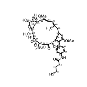 COc1cc2cc(c1-c1ccc(NC(=O)CCCS)cc1)N(C)C(=O)C[C@H](OCC(C)C)[C@]1(C)O[C@H]1[C@H](C)[C@@H]1C[C@@](O)(NC(O)O1)[C@H](OC)/C=C/C=C(\C)C2